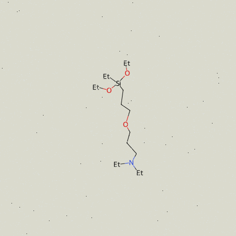 CCO[Si](CC)(CCCOCCCN(CC)CC)OCC